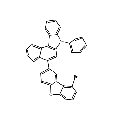 Brc1cccc2oc3ccc(-c4cc5c(c6ccccc46)c4ccccc4n5-c4ccccc4)cc3c12